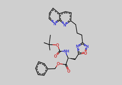 CC(C)(C)OC(=O)N[C@@H](Cc1nc(CCCc2ccc3cccnc3n2)no1)C(=O)OCc1ccccc1